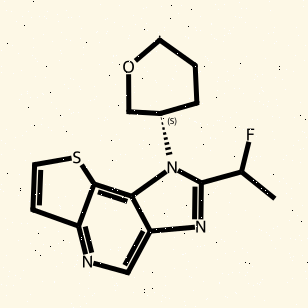 CC(F)c1nc2cnc3ccsc3c2n1[C@H]1CC[CH]OC1